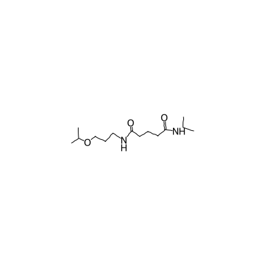 CC(C)NC(=O)CCCC(=O)NCCCOC(C)C